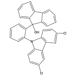 OC1(c2ccccc2-n2c3ccc(Cl)cc3c3cc(Cl)ccc32)c2ccccc2-c2ccccc21